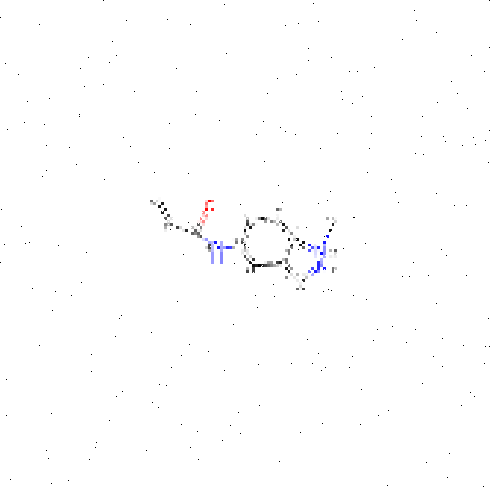 C=CC(=O)Nc1ccc2c(cnn2C)c1